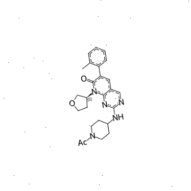 CC(=O)N1CCC(Nc2ncc3cc(-c4ccccc4C)c(=O)n([C@H]4CCOC4)c3n2)CC1